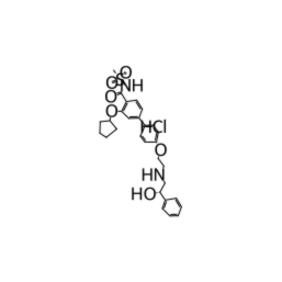 CS(=O)(=O)NC(=O)c1ccc(-c2ccc(OCCNC[C@@H](O)c3ccccc3)cc2)cc1OC1CCCC1.Cl